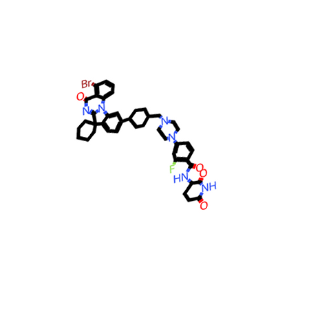 O=C1CCC(NC(=O)c2ccc(N3CCN(CC4CCC(c5ccc6c(c5)-n5c(nc(=O)c7c(Br)cccc75)C65CCCCC5)CC4)CC3)cc2F)C(=O)N1